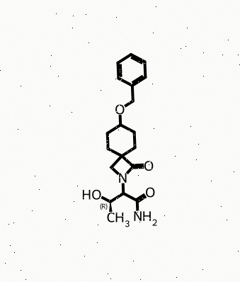 C[C@@H](O)C(C(N)=O)N1CC2(CCC(OCc3ccccc3)CC2)C1=O